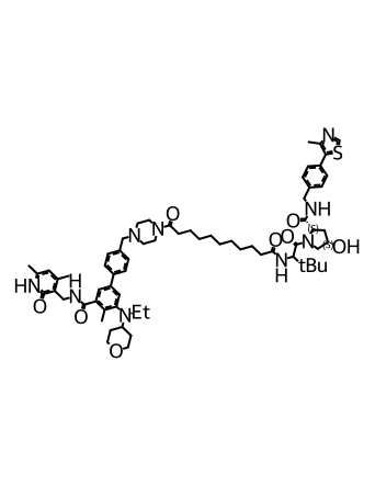 CCN(c1cc(-c2ccc(CN3CCN(C(=O)CCCCCCCCCC(=O)NC(C(=O)N4C[C@@H](O)C[C@H]4C(=O)NCc4ccc(-c5scnc5C)cc4)C(C)(C)C)CC3)cc2)cc(C(=O)NCc2c(C)cc(C)[nH]c2=O)c1C)C1CCOCC1